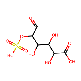 O=CC(OS(=O)(=O)O)C(O)C(O)C(O)C(=O)O